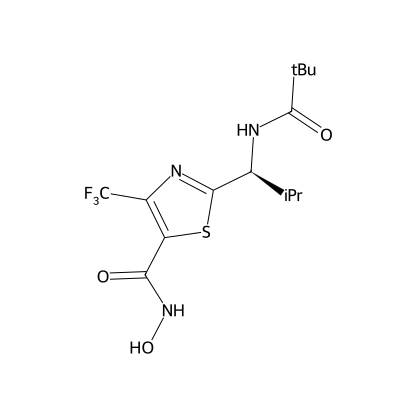 CC(C)[C@H](NC(=O)C(C)(C)C)c1nc(C(F)(F)F)c(C(=O)NO)s1